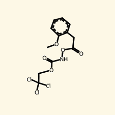 COc1ccccc1CC(=O)ONC(=O)OCC(Cl)(Cl)Cl